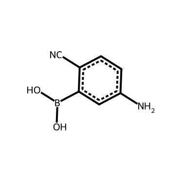 N#Cc1ccc(N)cc1B(O)O